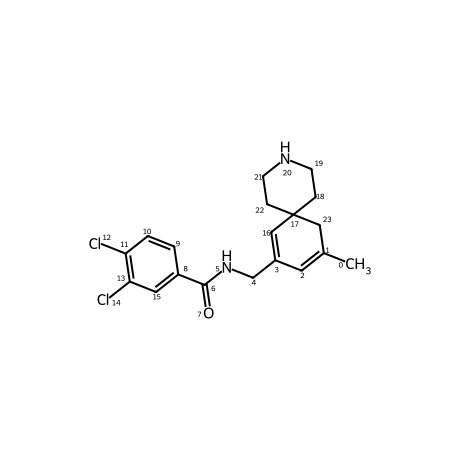 CC1=CC(CNC(=O)c2ccc(Cl)c(Cl)c2)=CC2(CCNCC2)C1